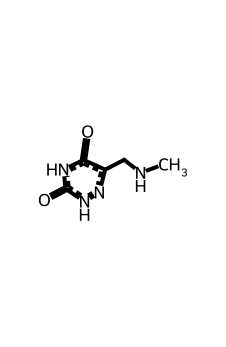 CNCc1n[nH]c(=O)[nH]c1=O